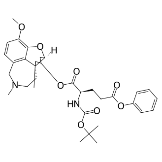 COc1ccc2c3c1O[C@@H]1CC(OC(=O)[C@@H](CCC(=O)Oc4ccccc4)NC(=O)OC(C)(C)C)C(C)[C@]31CCN(C)C2